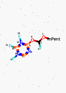 CCCCCOC(F)Op1npn(F)p(F)n1F